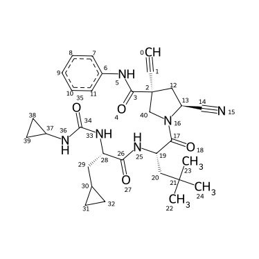 C#C[C@]1(C(=O)Nc2ccccc2)C[C@@H](C#N)N(C(=O)[C@H](CC(C)(C)C)NC(=O)[C@H](CC2CC2)NC(=O)NC2CC2)C1